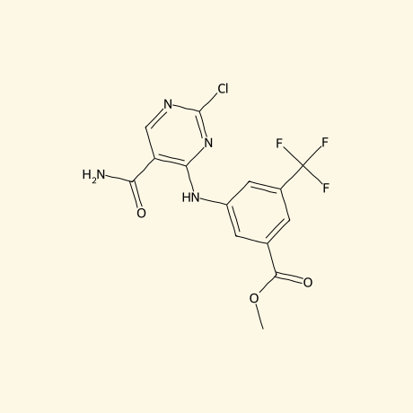 COC(=O)c1cc(Nc2nc(Cl)ncc2C(N)=O)cc(C(F)(F)F)c1